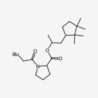 CCC(C)CC(=O)N1CCCC1C(=O)OC(C)CC1CCC(C)(C)C1(C)C